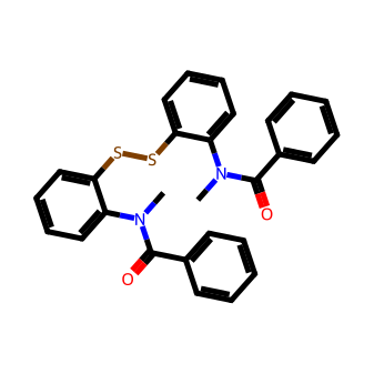 CN(C(=O)c1ccccc1)c1ccccc1SSc1ccccc1N(C)C(=O)c1ccccc1